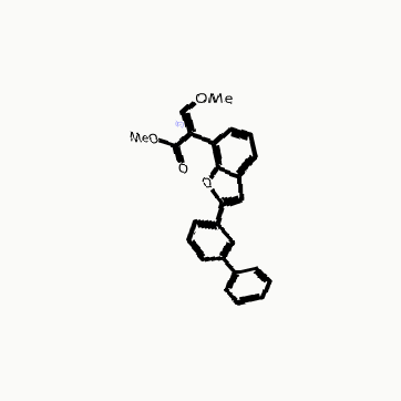 CO/C=C(/C(=O)OC)c1cccc2cc(-c3cccc(-c4ccccc4)c3)oc12